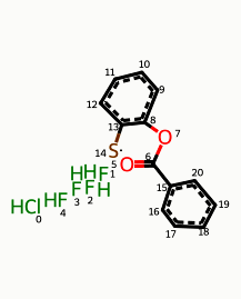 Cl.F.F.F.F.O=C(Oc1ccccc1[S])c1ccccc1